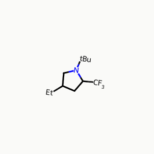 CCC1CC(C(F)(F)F)N(C(C)(C)C)C1